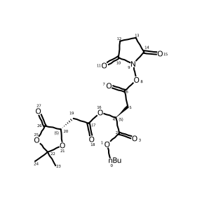 CCCCOC(=O)[C@H](CC(=O)ON1C(=O)CCC1=O)OC(=O)C[C@@H]1OC(C)(C)OC1=O